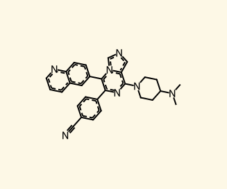 CN(C)C1CCN(c2nc(-c3ccc(C#N)cc3)c(-c3ccc4ncccc4c3)n3cncc23)CC1